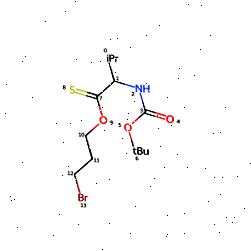 CC(C)C(NC(=O)OC(C)(C)C)C(=S)OCCCBr